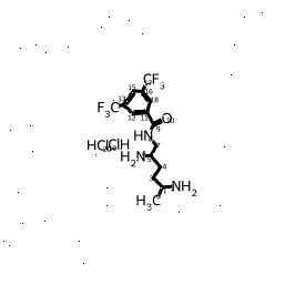 CC(N)CCC(N)CNC(=O)c1cc(C(F)(F)F)cc(C(F)(F)F)c1.Cl.Cl